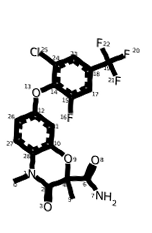 CN1C(=O)C(C)(C(N)=O)Oc2cc(Oc3c(F)cc(C(F)(F)F)cc3Cl)ccc21